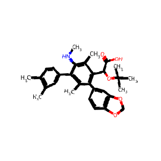 CNc1c(C)c(C(OC(C)(C)C)C(=O)O)c(-c2ccc3c(c2)OCO3)c(C)c1-c1ccc(C)c(C)c1